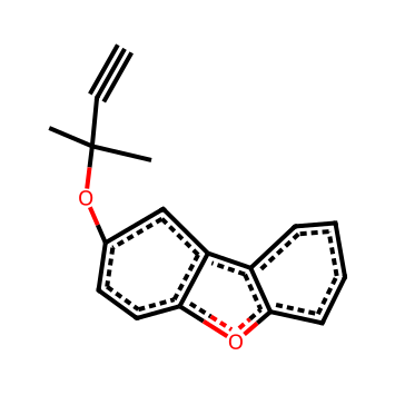 C#CC(C)(C)Oc1ccc2oc3ccccc3c2c1